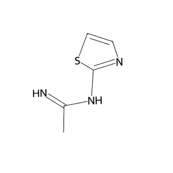 CC(=N)Nc1nccs1